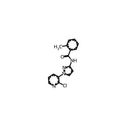 Cc1ccccc1C(=O)Nc1ccn(-c2cccnc2Cl)n1